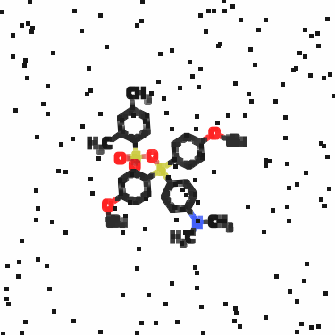 Cc1ccc(S(=O)(=O)OS(c2ccc(OC(C)(C)C)cc2)(c2ccc(OC(C)(C)C)cc2)c2ccc(N(C)C)cc2)c(C)c1